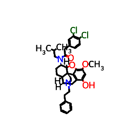 COc1cc(O)c2c3c1O[C@H]1[C@@H](N(CC(C)C)C(=O)Cc4ccc(Cl)c(Cl)c4)CC[C@H]4[C@@H](C2)N(CCc2ccccc2)CC[C@@]341